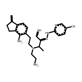 C=C1CCc2c1ccc(CCN(CCN)C(C)/C(C=N)=N/Nc1ccc(C#N)cn1)c2N